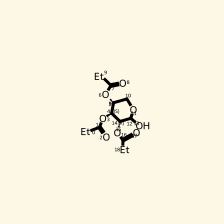 CCC(=O)O[C@H]1[C@H](OC(=O)CC)COC(O)[C@@H]1OC(=O)CC